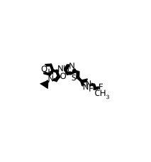 CC(F)(F)Cn1cc(-c2cc3nccc(O/C(=C/NC4CC4)C(=N)C4CCOCC4)c3s2)cn1